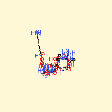 CCCC[C@H](NC(=O)[C@H](CO)NC(=O)[C@H](CN)NC(=O)[C@H](CCC(N)=O)NC(=O)[C@@H](NC(=O)CNC(=O)COCCOCCNC(=O)CCCCCCCCCCCCCCCc1nnn[nH]1)[C@@H](C)O)C(=O)N[C@H]1CCC(=O)NCCCC[C@@H](C(C)=O)NC(=O)[C@H](Cc2c[nH]c3ccccc23)NC(=O)[C@H](CCCNC(=N)N)NC(=O)[C@@H](Cc2ccccc2)NC(=O)[C@@H]2C[C@@H](O)CN2C1=O